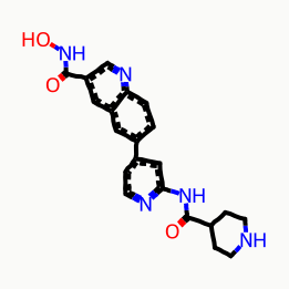 O=C(NO)c1cnc2ccc(-c3ccnc(NC(=O)C4CCNCC4)c3)cc2c1